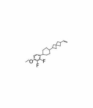 C=CC1CC2(C1)CC(C1CCC(c3ccc(OCC)c(F)c3F)CC1)C2